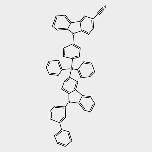 N#Cc1ccc2c(c1)c1ccccc1n2-c1ccc([Si](c2ccccc2)(c2ccccc2)c2ccc3c(c2)c2ccccc2n3-c2cccc(-c3ccccc3)c2)cc1